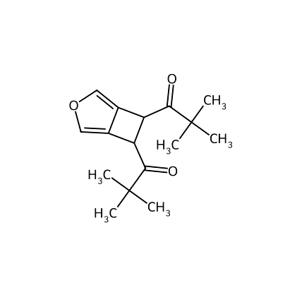 CC(C)(C)C(=O)C1c2cocc2C1C(=O)C(C)(C)C